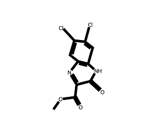 COC(=O)c1nc2cc(Cl)c(Cl)cc2[nH]c1=O